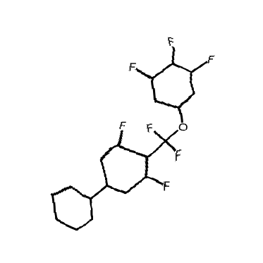 FC1CC(OC(F)(F)C2C(F)CC(C3CCCCC3)CC2F)CC(F)C1F